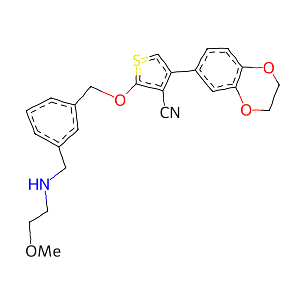 COCCNCc1cccc(COc2scc(-c3ccc4c(c3)OCCO4)c2C#N)c1